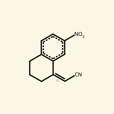 N#C/C=C1/CCCc2ccc([N+](=O)[O-])cc21